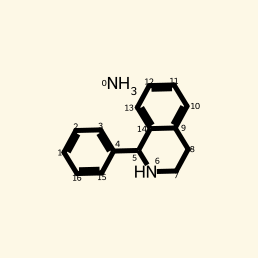 N.c1ccc(C2NCCc3ccccc32)cc1